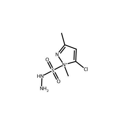 CC1=N[N+](C)(S(=O)(=O)NN)C(Cl)=C1